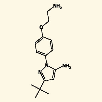 CC(C)(C)c1cc(N)n(-c2ccc(OCCN)cc2)n1